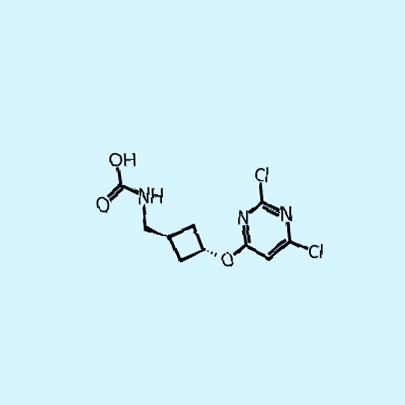 O=C(O)NC[C@H]1C[C@H](Oc2cc(Cl)nc(Cl)n2)C1